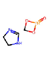 C1=NCCN1.O=[PH]1OCO1